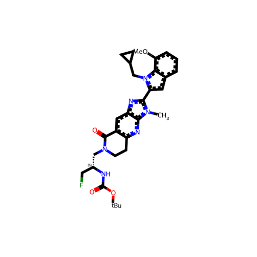 COc1cccc2cc(-c3nc4cc5c(nc4n3C)CCN(C[C@@H](CF)NC(=O)OC(C)(C)C)C5=O)n(CC3CC3)c12